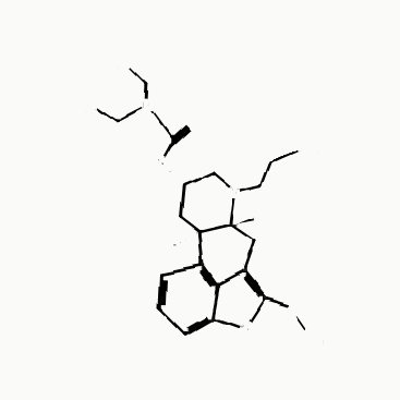 CCCN1C[C@@H](NC(=O)N(CC)CC)C[C@@H]2c3cccc4[nH]c(SC)c(c34)C[C@H]21